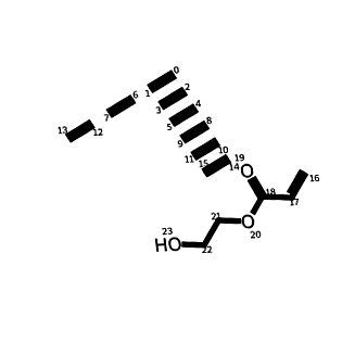 C=C.C=C.C=C.C=C.C=C.C=C.C=C.C=C.C=CC(=O)OCCO